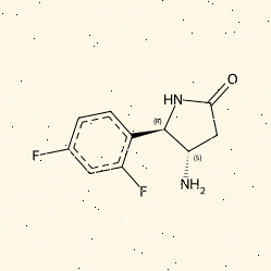 N[C@H]1CC(=O)N[C@@H]1c1ccc(F)cc1F